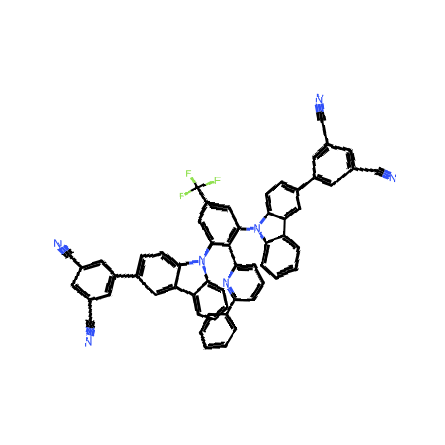 N#Cc1cc(C#N)cc(-c2ccc3c(c2)c2ccccc2n3-c2cc(C(F)(F)F)cc(-n3c4ccccc4c4cc(-c5cc(C#N)cc(C#N)c5)ccc43)c2-c2cccc(-c3ccccc3)n2)c1